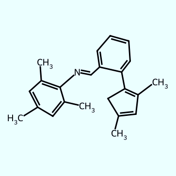 CC1=CC(C)=C(c2ccccc2C=Nc2c(C)cc(C)cc2C)C1